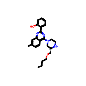 CCCCOC[C@H]1CN(c2nc(-c3ccccc3O)nc3cc(C)ccc23)CCN1